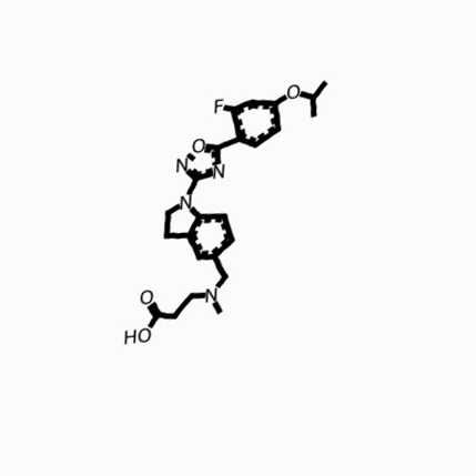 CC(C)Oc1ccc(-c2nc(N3CCc4cc(CN(C)CCC(=O)O)ccc43)no2)c(F)c1